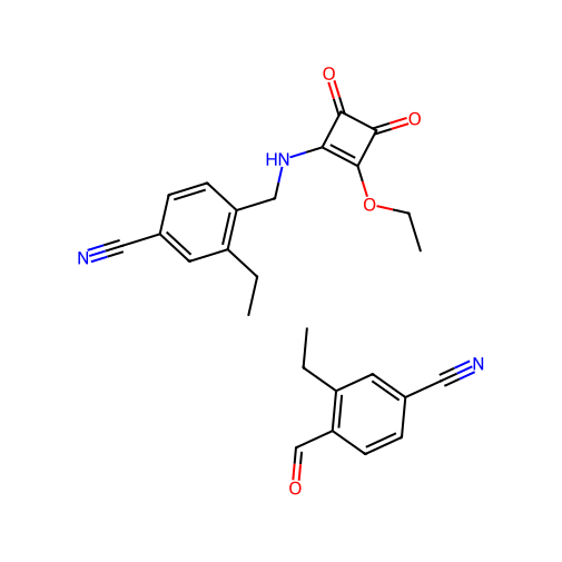 CCOc1c(NCc2ccc(C#N)cc2CC)c(=O)c1=O.CCc1cc(C#N)ccc1C=O